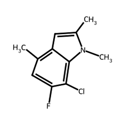 Cc1cc(F)c(Cl)c2c1cc(C)n2C